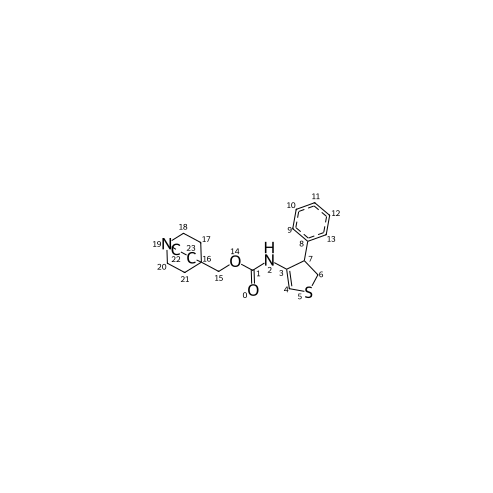 O=C(NC1=CSCC1c1ccccc1)OCC12CCN(CC1)CC2